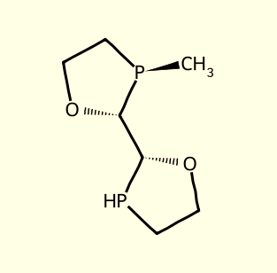 C[P@]1CCO[C@H]1[C@@H]1OCCP1